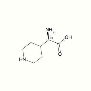 N[C@@H](C(=O)O)C1CCNCC1